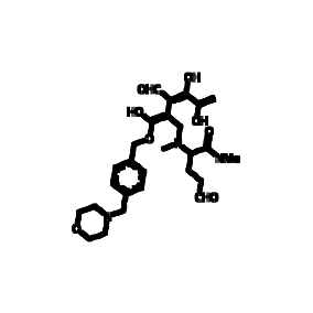 C=C(O)/C(O)=C(C=O)\C(CN(C)C(CCC=O)C(=O)NC)=C(/O)OCc1ccc(CN2CCOCC2)cc1